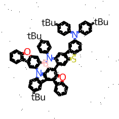 CC(C)(C)c1ccc(N2B3c4cc5oc6ccccc6c5cc4-n4c5ccc(C(C)(C)C)cc5c5c6c(oc7ccccc76)c(c3c54)-c3cc4sc5ccc(N(c6ccc(C(C)(C)C)cc6)c6ccc(C(C)(C)C)cc6)cc5c4cc32)cc1